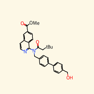 COC(=O)c1ccc2c(N(Cc3ccc(-c4ccc(CO)cc4)cc3)C(=O)CC(C)(C)C)nccc2c1